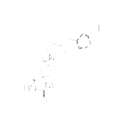 CC1(CS(=O)(=O)N2CCC(Oc3cccc(Cl)c3)CC2)NC(=O)NC1=O